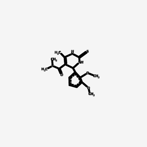 COc1cccc(C2NC(=S)NC(C)=C2C(=O)N(C)C)c1OC